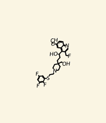 COc1ccc2ncc(CF)c([C@H](O)CCC3(CO)CCN(CCSc4cc(F)cc(F)c4F)CC3)c2c1